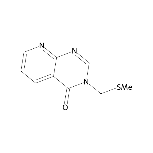 CSCn1cnc2ncccc2c1=O